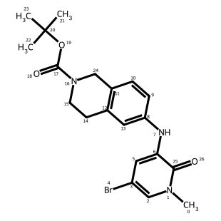 Cn1cc(Br)cc(Nc2ccc3c(c2)CCN(C(=O)OC(C)(C)C)C3)c1=O